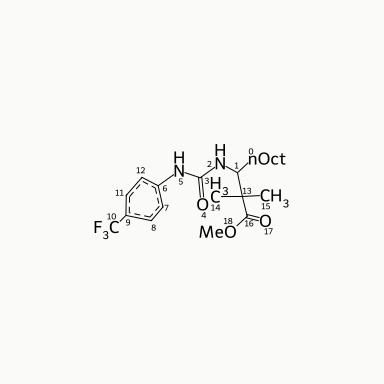 CCCCCCCCC(NC(=O)Nc1ccc(C(F)(F)F)cc1)C(C)(C)C(=O)OC